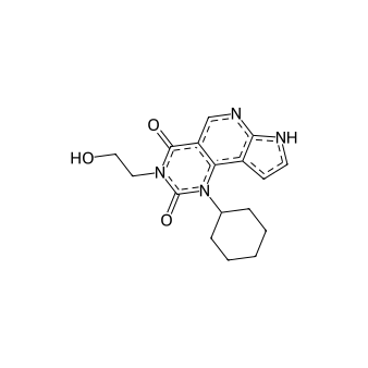 O=c1c2cnc3[nH]ccc3c2n(C2CCCCC2)c(=O)n1CCO